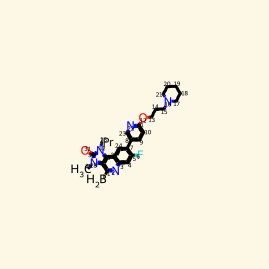 Bc1nc2cc(F)c(-c3ccc(OCCCN4CCCCC4)nc3)cc2c2c1n(C)c(=O)n2C(C)C